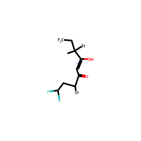 CCC(CC(F)F)C(=O)/C=C(\O)C(C)(CC)CC(F)(F)F